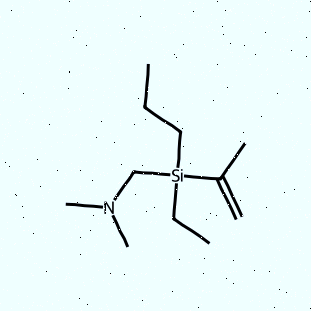 C=C(C)[Si](CC)(CCC)CN(C)C